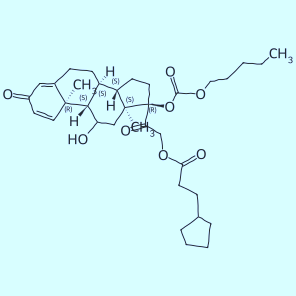 CCCCCOC(=O)O[C@]1(C(=O)COC(=O)CCC2CCCC2)CC[C@H]2[C@@H]3CCC4=CC(=O)C=C[C@]4(C)[C@H]3C(O)C[C@@]21C